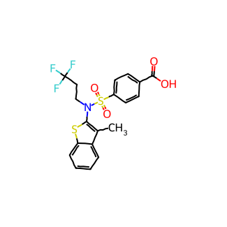 Cc1c(N(CCC(F)(F)F)S(=O)(=O)c2ccc(C(=O)O)cc2)sc2ccccc12